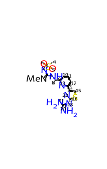 CN/C(=N/S(C)(=O)=O)NCc1cccc(-c2csc(N=C(N)N)n2)n1